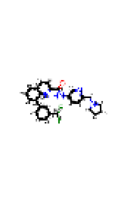 O=C(Nc1ccc(CN2CCCC2)nc1)c1ccc2cccc(-c3cccc(C(F)F)c3)c2n1